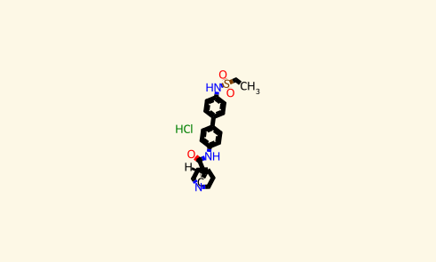 CCS(=O)(=O)Nc1ccc(-c2ccc(NC(=O)[C@H]3CN4CCC3CC4)cc2)cc1.Cl